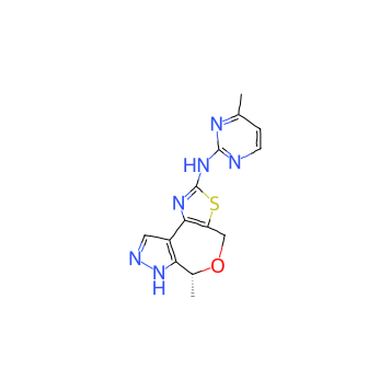 Cc1ccnc(Nc2nc3c(s2)CO[C@H](C)c2[nH]ncc2-3)n1